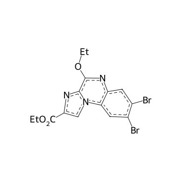 CCOC(=O)c1cn2c(n1)c(OCC)nc1cc(Br)c(Br)cc12